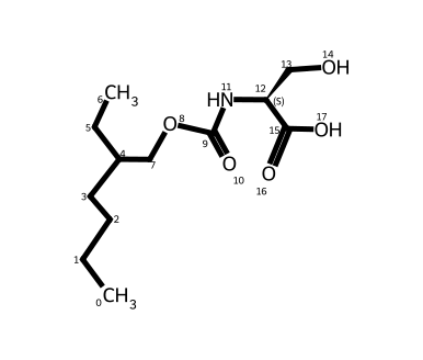 CCCCC(CC)COC(=O)N[C@@H](CO)C(=O)O